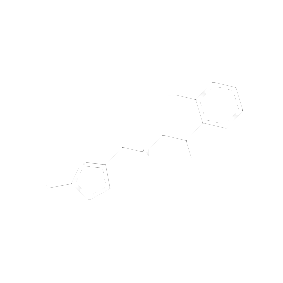 OC(CNCc1ccc(Cl)s1)c1ccccc1Br